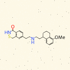 COc1cccc2c1CCCC2CCNCCc1ccc2c(c1)CSNC2=O